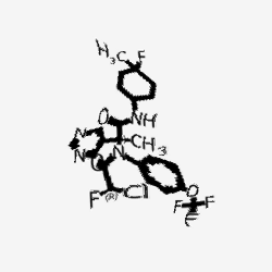 CC1(F)CCC(NC(=O)[C@@](C)(c2cncnc2)N(C(=O)[C@H](F)Cl)c2ccc(OC(F)(F)F)cc2)CC1